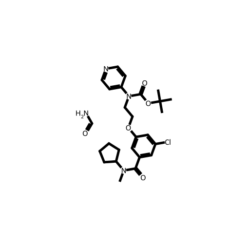 CN(C(=O)c1cc(Cl)cc(OCCN(C(=O)OC(C)(C)C)c2ccncc2)c1)C1CCCC1.NC=O